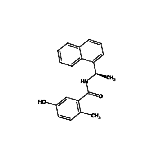 Cc1ccc(O)cc1C(=O)N[C@H](C)c1cccc2ccccc12